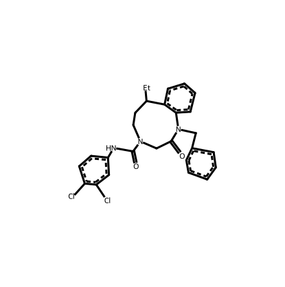 CCC1CCN(C(=O)Nc2ccc(Cl)c(Cl)c2)CC(=O)N(Cc2ccccc2)c2ccccc21